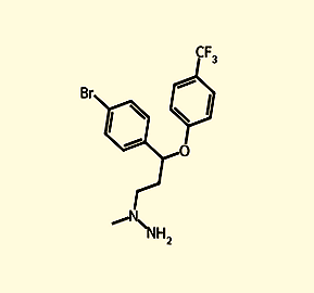 CN(N)CCC(Oc1ccc(C(F)(F)F)cc1)c1ccc(Br)cc1